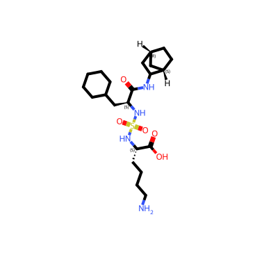 NCCCC[C@H](NS(=O)(=O)N[C@@H](CC1CCCCC1)C(=O)NC1C[C@@H]2CC[C@H]1C2)C(=O)O